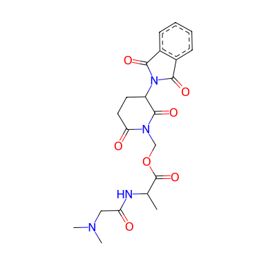 CC(NC(=O)CN(C)C)C(=O)OCN1C(=O)CCC(N2C(=O)c3ccccc3C2=O)C1=O